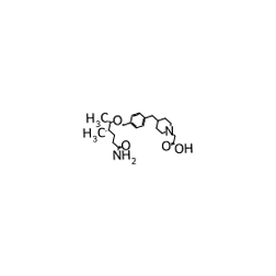 C[C@@H](CCC(N)=O)[C@@H](C)OCc1ccc(CC2CCN(CC(=O)O)CC2)cc1